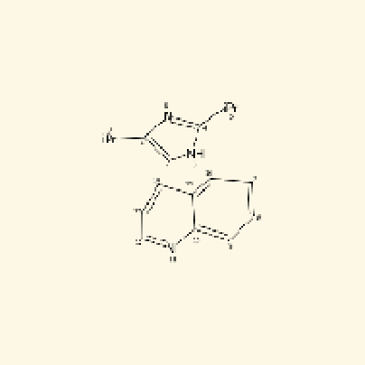 CC(C)c1c[nH]c(C(C)C)n1.c1ccc2ncccc2c1